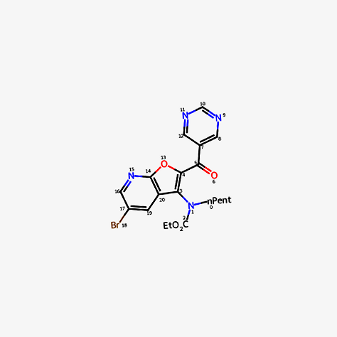 CCCCCN(C(=O)OCC)c1c(C(=O)c2cncnc2)oc2ncc(Br)cc12